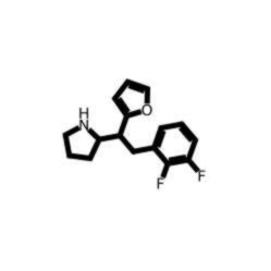 Fc1cccc(CC(c2ccco2)C2CCCN2)c1F